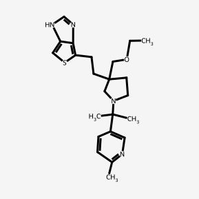 CCOCC1(CCc2scc3[nH]cnc23)CCN(C(C)(C)c2ccc(C)nc2)C1